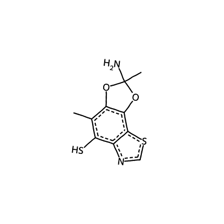 Cc1c2c(c3scnc3c1S)OC(C)(N)O2